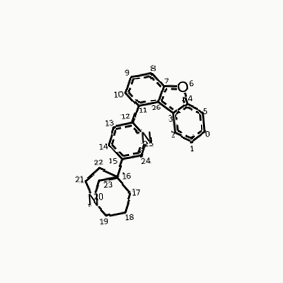 c1ccc2c(c1)oc1cccc(-c3ccc(C45CCCN(CC4)C5)cn3)c12